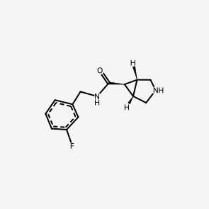 O=C(NCc1cccc(F)c1)[C@H]1[C@@H]2CNC[C@@H]21